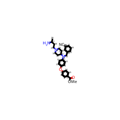 COC(=O)c1ccc(Oc2ccc(N(Cc3cccc(C#N)c3)C3CCN(CCC(C)N)CC3)cc2)cc1